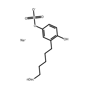 CCCCCCCCCCCCCCCc1cc(OS(=O)(=O)[O-])ccc1O.[Na+]